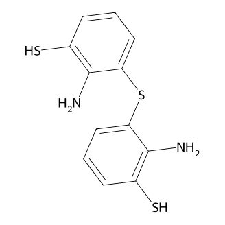 Nc1c(S)cccc1Sc1cccc(S)c1N